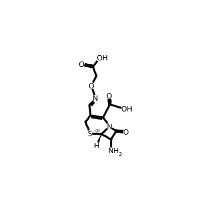 NC1C(=O)N2C(C(=O)O)=C(C=NOCC(=O)O)CS[C@@H]12